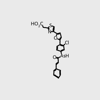 O=C(O)Cc1nc(-c2ccc(-c3ccc([AsH]C(=O)C=Cc4ccccc4)cc3Cl)o2)cs1